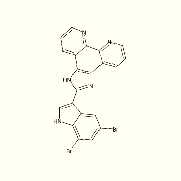 Brc1cc(Br)c2[nH]cc(-c3nc4c5cccnc5c5ncccc5c4[nH]3)c2c1